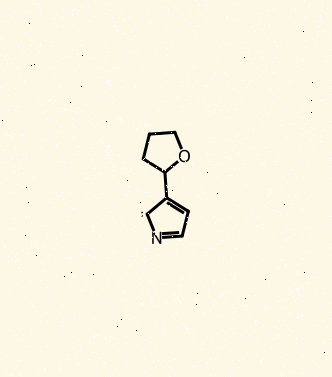 [C]1N=CC=C1C1CCCO1